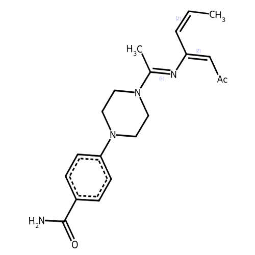 C\C=C/C(=C/C(C)=O)/N=C(\C)N1CCN(c2ccc(C(N)=O)cc2)CC1